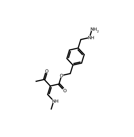 CN/C=C(/C(C)=O)C(=O)OCc1ccc(CNN)cc1